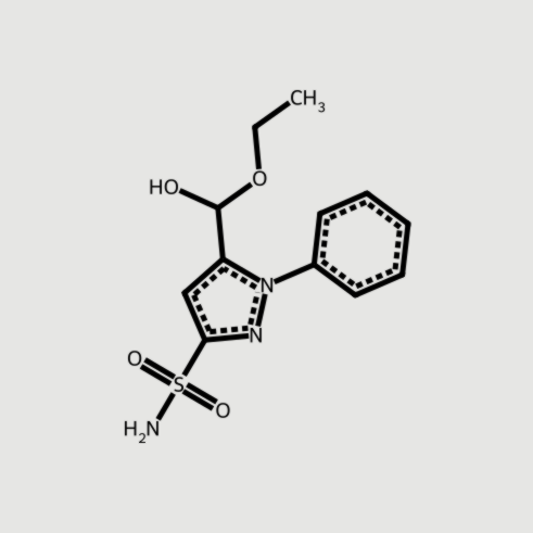 CCOC(O)c1cc(S(N)(=O)=O)nn1-c1ccccc1